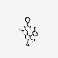 N#CC1=C(c2cccc(F)c2)C2=CC(OC(=O)c3ccccc3)C(=O)CC2=CN1C1CC1